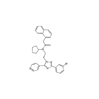 O=C(Cc1cccc2ccccc12)N(CCn1nc(-c2cccc(Br)c2)nc1-c1ccncc1)C1CCCC1